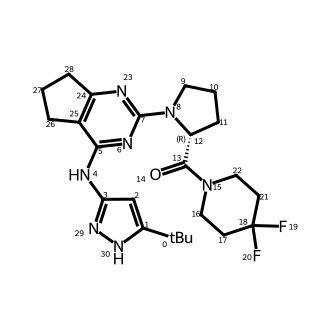 CC(C)(C)c1cc(Nc2nc(N3CCC[C@@H]3C(=O)N3CCC(F)(F)CC3)nc3c2CCC3)n[nH]1